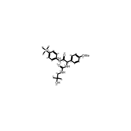 COc1ccc(C(NC(=O)NCC(C)(C)O)C(=O)Nc2ccc(S(C)(C)C)cc2)cc1